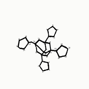 C1CCC(C23CC4(C5CCCC5)CC(C5CCCC5)(C2)CC(C2CCCC2)(C3)C4)C1